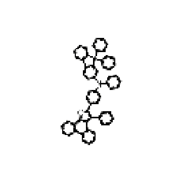 c1ccc(-c2c(-c3ccc(N(c4ccccc4)c4ccc5c(c4)C(c4ccccc4)(c4ccccc4)c4ccccc4-5)cc3)oc3c4ccccc4c4ccccc4c23)cc1